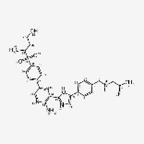 CC(F)CNCc1ccc(-c2nnc(-c3nc(-c4ccc(S(=O)(=O)C(C)CCO)cc4)cnc3N)o2)cc1